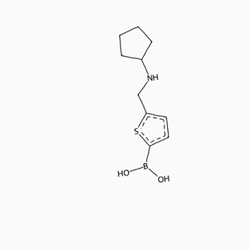 OB(O)c1ccc(CNC2CCCC2)s1